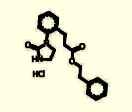 Cl.O=C(CCc1ccccc1N1CCNC1=O)OCCc1ccccc1